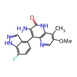 COc1cnc2c(-c3ccc(F)c4[nH]ncc34)c(N)c(=O)[nH]c2c1C